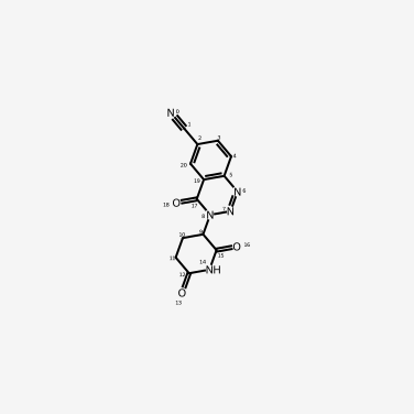 N#Cc1ccc2nnn(C3CCC(=O)NC3=O)c(=O)c2c1